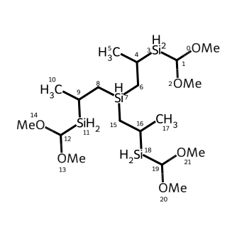 COC(OC)[SiH2]C(C)C[SiH](CC(C)[SiH2]C(OC)OC)CC(C)[SiH2]C(OC)OC